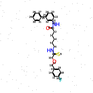 O=C(CCCCCNC(=S)COCc1ccc(F)cc1)Nc1cccc(-c2ccccc2)c1